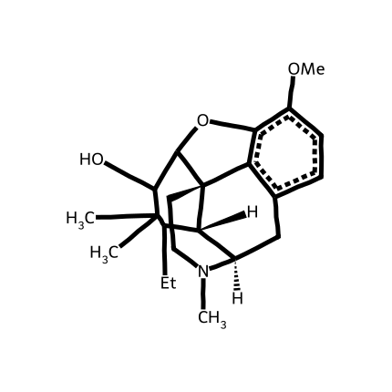 CCC1[C@H]2[C@H]3Cc4ccc(OC)c5c4[C@@]2(CCN3C)C(O5)C(O)C1(C)C